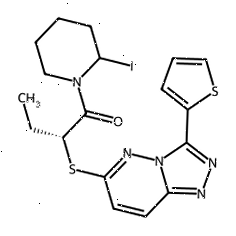 CC[C@@H](Sc1ccc2nnc(-c3cccs3)n2n1)C(=O)N1CCCCC1I